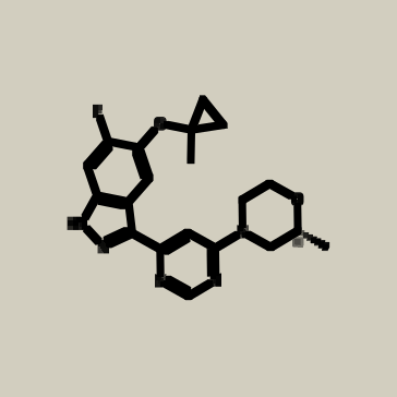 C[C@@H]1CN(c2cc(-c3n[nH]c4cc(F)c(OC5(C)CC5)cc34)ncn2)CCO1